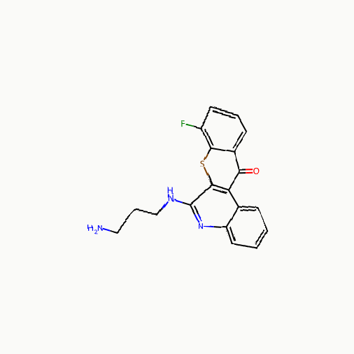 NCCCNc1nc2ccccc2c2c(=O)c3cccc(F)c3sc12